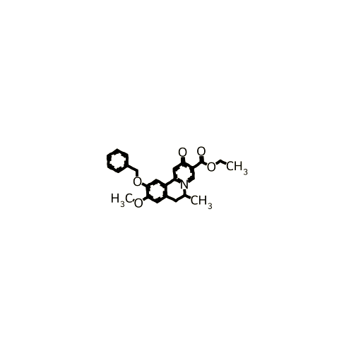 CCOC(=O)c1cn2c(cc1=O)-c1cc(OCc3ccccc3)c(OC)cc1CC2C